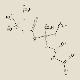 CCC(=O)OC(=O)CC(CC(=O)O)(OC(=O)CC(O)(CC(=O)O)C(=O)O)C(=O)O